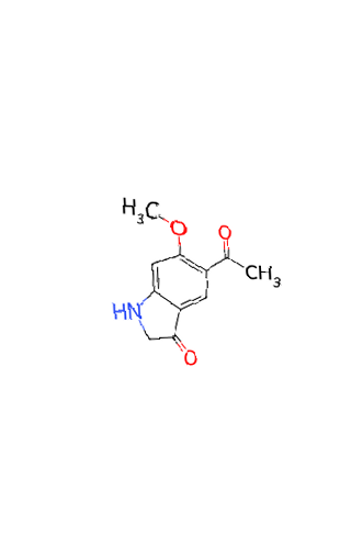 COc1cc2c(cc1C(C)=O)C(=O)CN2